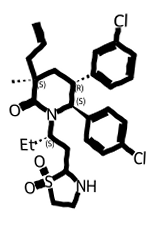 C=CC[C@@]1(C)C[C@H](c2cccc(Cl)c2)[C@@H](c2ccc(Cl)cc2)N([C@@H](CC)CC2NCCS2(=O)=O)C1=O